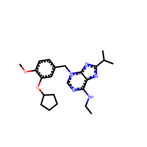 CCNc1ncn(Cc2ccc(OC)c(OC3CCCC3)c2)c2nc(C(C)C)nc1-2